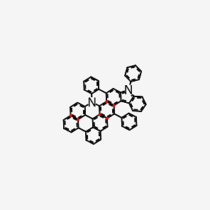 c1ccc(-c2ccc(N(c3ccccc3-c3ccc4c5ccccc5n(-c5ccccc5)c4c3)c3ccccc3-c3cccc4cccc(-c5ccccc5)c34)cc2)cc1